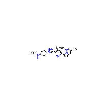 CNc1cc(-c2ccc3cc(C#N)cnn23)ncc1-c1cn(C2CCC(NC(=O)O)CC2)nn1